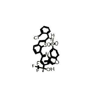 Cc1coc2ccc(S(=O)(=O)N[C@@H](c3cc4cccc(-c5cc([C@](C)(O)C(F)(F)F)ccn5)c4s3)c3ccccc3Cl)cc12